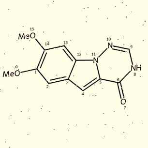 COc1cc2cc3c(=O)[nH]cnn3c2cc1OC